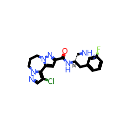 NC[C@H](Cc1cccc(F)c1)NC(=O)c1cc2n(n1)CCCn1ncc(Cl)c1-2